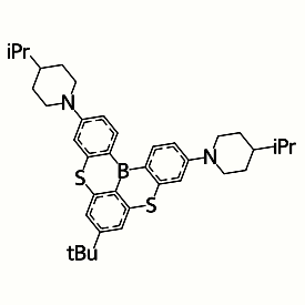 CC(C)C1CCN(c2ccc3c(c2)Sc2cc(C(C)(C)C)cc4c2B3c2ccc(N3CCC(C(C)C)CC3)cc2S4)CC1